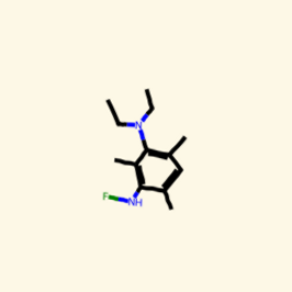 CCN(CC)c1c(C)cc(C)c(NF)c1C